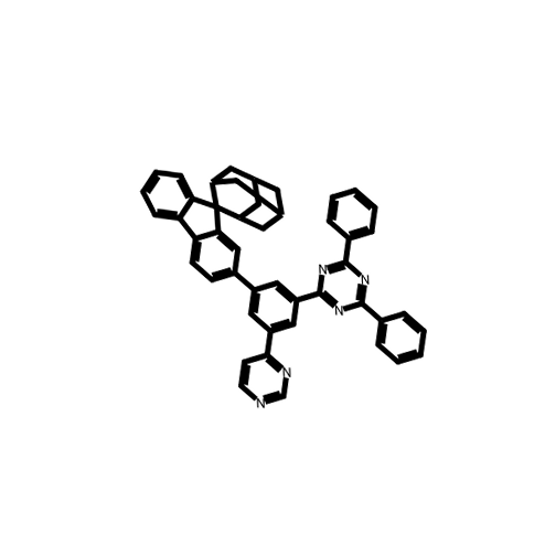 c1ccc(-c2nc(-c3ccccc3)nc(-c3cc(-c4ccc5c(c4)C4(c6ccccc6-5)C5CC6CC(C5)CC4C6)cc(-c4ccncn4)c3)n2)cc1